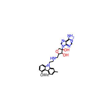 COc1cccc2c1c1ccc(C)cc1n2CCNCC1OCC(O)(n2cnc3c(N)ncnc32)C1O